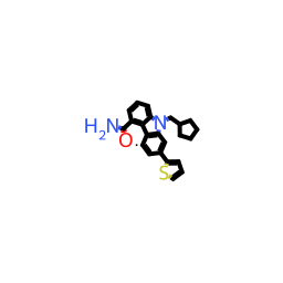 NC(=O)c1cccc2c1c1[c]cc(-c3cccs3)cc1n2CC1CCCC1